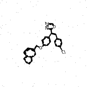 Clc1ccc(/C=C(\c2ccc(OCc3ccc4ccccc4c3)cc2)c2nnco2)cc1